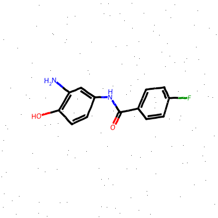 Nc1cc(NC(=O)c2ccc(F)cc2)ccc1O